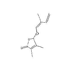 C=CC(C)=COC1OC(=O)C(C)=C1C